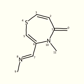 C=C1C=CSC=C(/C=N/C)N1C